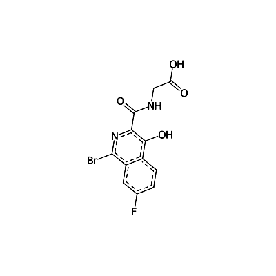 O=C(O)CNC(=O)c1nc(Br)c2cc(F)ccc2c1O